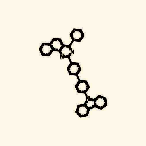 c1ccc(-c2nc(-c3ccc(-c4ccc(-n5c6ccccc6c6ccccc65)cc4)cc3)nc3c2ccc2ccccc23)cc1